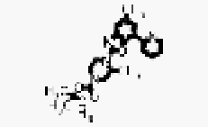 Cc1cc(-c2ccccn2)c2oc(N3CCN(C(=O)OC(C)(C)C)CC3C)nc2c1